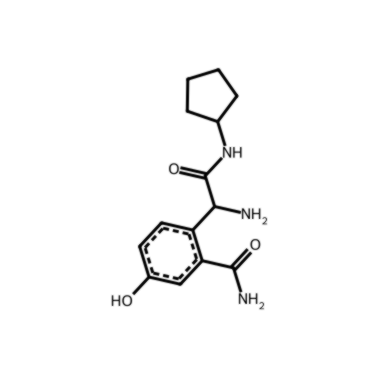 NC(=O)c1cc(O)ccc1C(N)C(=O)NC1CCCC1